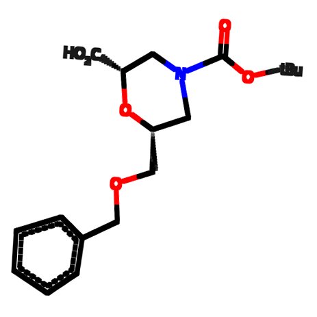 CC(C)(C)OC(=O)N1C[C@H](COCc2ccccc2)O[C@H](C(=O)O)C1